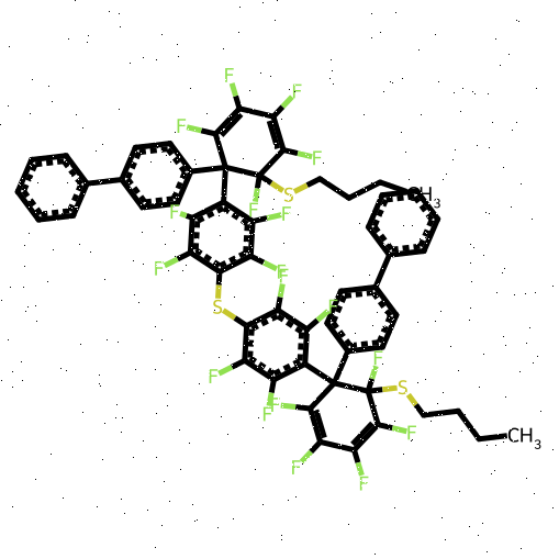 CCCCSC1(F)C(F)=C(F)C(F)=C(F)C1(c1ccc(-c2ccccc2)cc1)c1c(F)c(F)c(Sc2c(F)c(F)c(C3(c4ccc(-c5ccccc5)cc4)C(F)=C(F)C(F)=C(F)C3(F)SCCCC)c(F)c2F)c(F)c1F